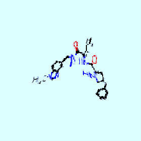 C[C@H](NC(=O)[C@H]1C[C@H](Cc2ccccc2)CN1)C(=O)NCc1ccc2c(c1)ncn2C